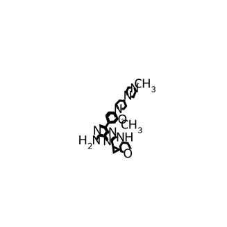 COc1cc(-c2cnc(N)c3nc(C4CC4)c(NC4CCOCC4)nc23)c#cc1N1CCC(N2CCN(C)CC2)CC1